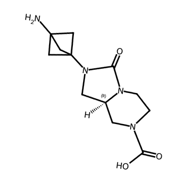 NC12CC(N3C[C@@H]4CN(C(=O)O)CCN4C3=O)(C1)C2